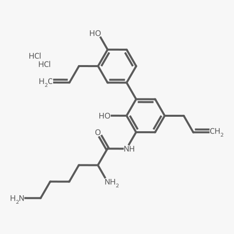 C=CCc1cc(NC(=O)C(N)CCCCN)c(O)c(-c2ccc(O)c(CC=C)c2)c1.Cl.Cl